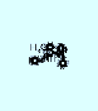 Cc1cccc(C(CC(=O)NCCc2ccncc2)c2cn(Cc3ccccc3)c3ncccc23)c1